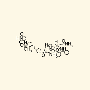 Cn1c(=O)n(C2CCC(=O)NC2=O)c2ccc(CC[C@H]3CC[C@@H](C(=O)N4CC[C@H]5CC[C@@H](C(=O)N[C@@H](CCC(N)=O)C(=O)NC(c6ccccc6)c6ccccc6)N5C(=O)[C@@H](N)C4)CC3)cc21